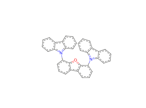 c1cc(-n2c3ccccc3c3ccccc32)c2oc3c(-n4c5ccccc5c5ccccc54)cccc3c2c1